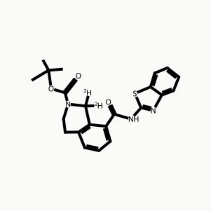 [2H]C1([2H])c2c(cccc2C(=O)Nc2nc3ccccc3s2)CCN1C(=O)OC(C)(C)C